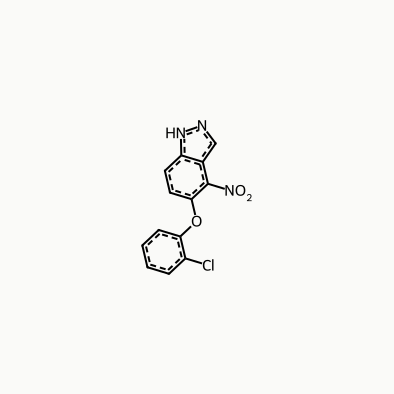 O=[N+]([O-])c1c(Oc2ccccc2Cl)ccc2[nH]ncc12